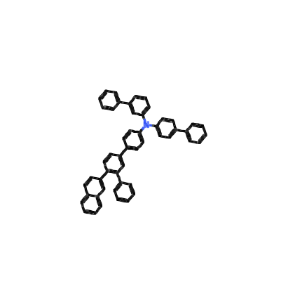 c1ccc(-c2ccc(N(c3ccc(-c4ccc(-c5ccc6ccccc6c5)c(-c5ccccc5)c4)cc3)c3cccc(-c4ccccc4)c3)cc2)cc1